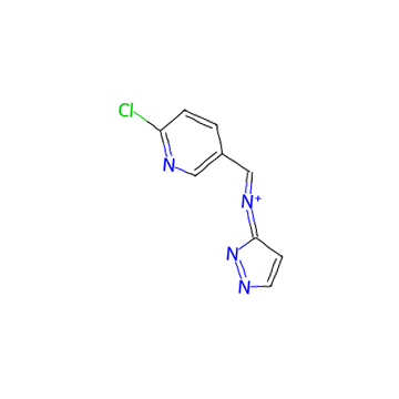 Clc1ccc(C=[N+]=C2C=CN=N2)cn1